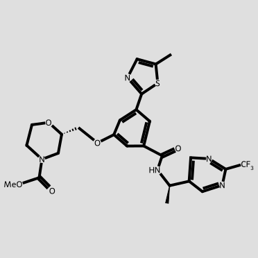 COC(=O)N1CCO[C@H](COc2cc(C(=O)N[C@H](C)c3cnc(C(F)(F)F)nc3)cc(-c3ncc(C)s3)c2)C1